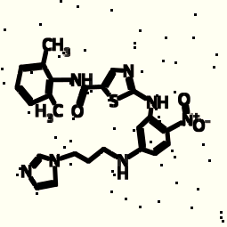 Cc1cccc(C)c1NC(=O)c1cnc(Nc2cc(NCCCn3ccnc3)ccc2[N+](=O)[O-])s1